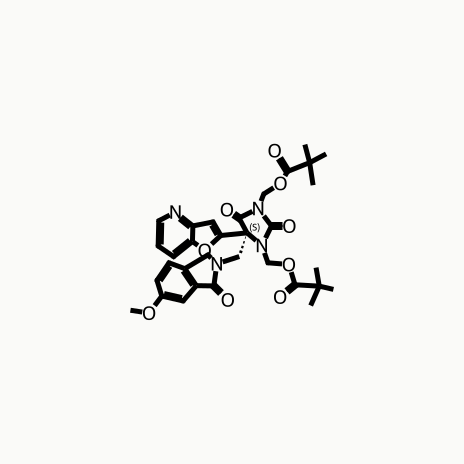 COc1ccc2c(c1)C(=O)N(C[C@]1(c3cc4ncccc4o3)C(=O)N(COC(=O)C(C)(C)C)C(=O)N1COC(=O)C(C)(C)C)C2